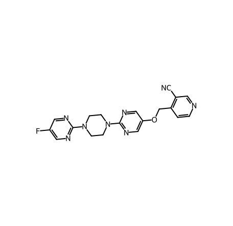 N#Cc1cnccc1COc1cnc(N2CCN(c3ncc(F)cn3)CC2)nc1